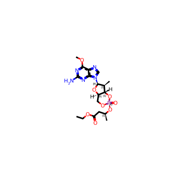 CCOC(=O)C[C@H](C)O[P@@]1(=O)OC[C@H]2O[C@@H](n3cnc4c(OC)nc(N)nc43)[C@@H](C)[C@@H]2O1